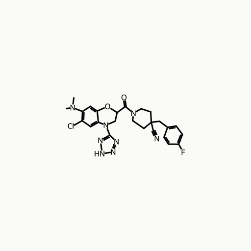 CN(C)c1cc2c(cc1Cl)N(c1nn[nH]n1)CC(C(=O)N1CCC(C#N)(Cc3ccc(F)cc3)CC1)O2